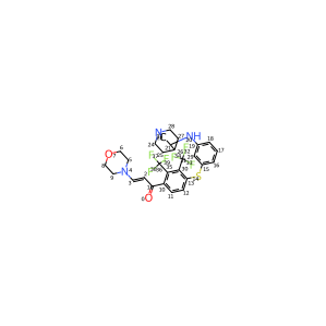 O=C(C=CN1CCOCC1)c1ccc(Sc2cccc(NC3CN4CCC3CC4)c2)c(C(F)(F)F)c1C(F)(F)F